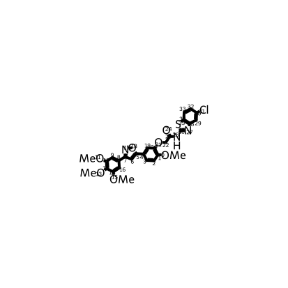 COc1ccc(-c2cc(-c3cc(OC)c(OC)c(OC)c3)no2)cc1OCC(=O)Nc1nc2cc(Cl)ccc2s1